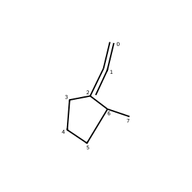 C=C=C1CCCC1C